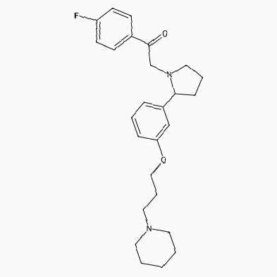 O=C(CN1CCCC1c1cccc(OCCCN2CCCCC2)c1)c1ccc(F)cc1